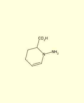 NN1C=CCCC1C(=O)O